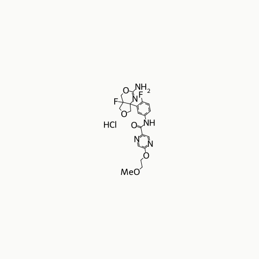 COCCOc1cnc(C(=O)Nc2ccc(F)c(C34COCC3(F)COC(N)=N4)c2)cn1.Cl